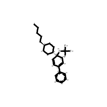 CCCCC[C@H]1CC[C@H](C2(OC(F)(F)F)C=CC(c3ccccc3)=CC2)CC1